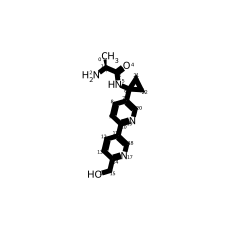 C[C@H](N)C(=O)NC1(c2ccc(-c3ccc(CO)nc3)nc2)CC1